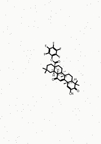 CC1(C)CC[C@]2(C(=O)Oc3c(F)c(F)c(F)c(F)c3F)CC[C@]3(C)[C@H](C(=O)C=C4[C@@]5(C)C=C(C#N)C(=O)C(C)(C)[C@@H]5CC[C@]43C)[C@@H]2C1